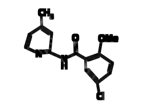 COc1ccc(Cl)cc1C(=O)Nc1cc(C)ccn1